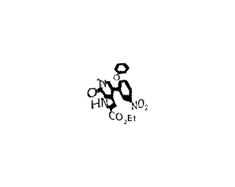 CCOC(=O)c1cc2c(-c3cc([N+](=O)[O-])ccc3Oc3ccccc3)cn(C)c(=O)c2[nH]1